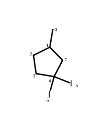 CC1CCC(I)(I)C1